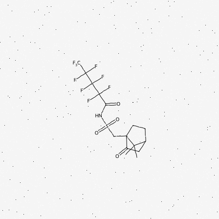 CC1(C)C2CCC1(CS(=O)(=O)NC(=O)C(F)(F)C(F)(F)C(F)(F)C(F)(F)F)C(=O)C2